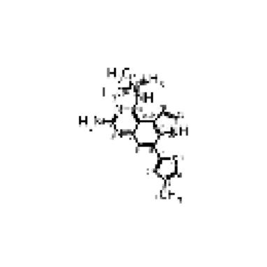 Cc1csc(-c2cc3nc(N)nc(N[N+](C)(C)C)c3c3cc[nH]c23)c1